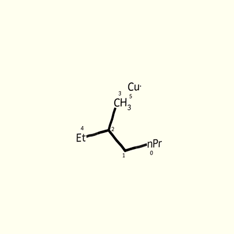 CCCCC(C)CC.[Cu]